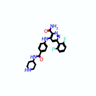 NC(=O)c1nnc(-c2c(F)cccc2F)cc1Nc1ccc(C(=O)NC2CCNCC2)cc1